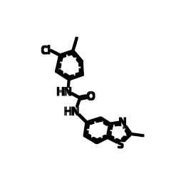 Cc1nc2cc(NC(=O)Nc3ccc(C)c(Cl)c3)ccc2s1